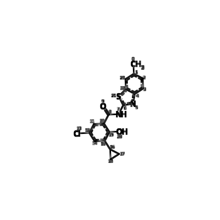 Cc1ccc2nc(NC(=O)c3cc(Cl)cc(C4CC4)c3O)sc2c1